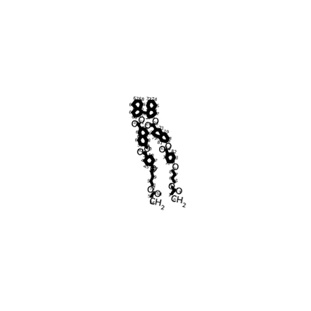 C=CC(=O)OCCCCOc1ccc(C(=O)Oc2ccc3cc(C(=O)Oc4cc(-c5c(OC(=O)c6ccc7cc(OC(=O)c8ccc(OCCCCOC(=O)C=C)cc8)ccc7c6)ccc6ccccc56)c5ccccc5c4)ccc3c2)cc1